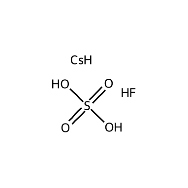 F.O=S(=O)(O)O.[CsH]